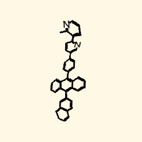 Cc1ncccc1-c1ccc(-c2ccc(-c3c4ccccc4c(-c4ccc5c(c4)CCC=C5)c4ccccc34)cc2)cn1